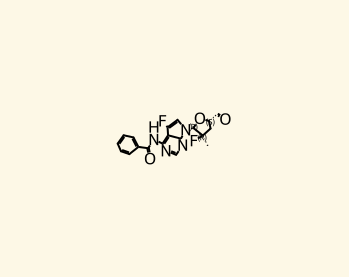 C[C@@]1(F)C[C@@H](C=O)O[C@H]1n1cc(F)c2c(NC(=O)c3ccccc3)ncnc21